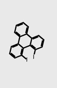 Ic1cccc2c3ccccc3c3cccc(I)c3c12